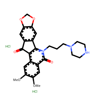 COc1cc2c3c(n(CCCN4CCNCC4)c(=O)c2cc1OC)-c1cc2c(cc1C3=O)OCO2.Cl.Cl